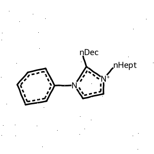 CCCCCCCCCCc1n(-c2ccccc2)cc[n+]1CCCCCCC